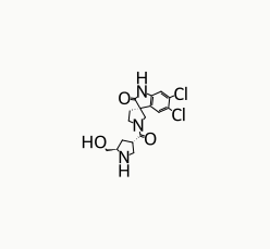 O=C([C@@H]1CN[C@@H](CO)C1)N1CC[C@]2(C1)C(=O)Nc1cc(Cl)c(Cl)cc12